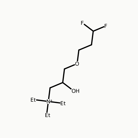 CC[N+](CC)(CC)CC(O)COCCC(F)F